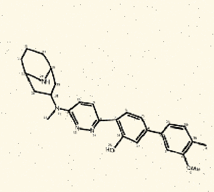 COc1cc(-c2ccc(-c3ccc(N(C)C4CC5CCCC(C4)N5)nn3)c(O)c2)ccc1C